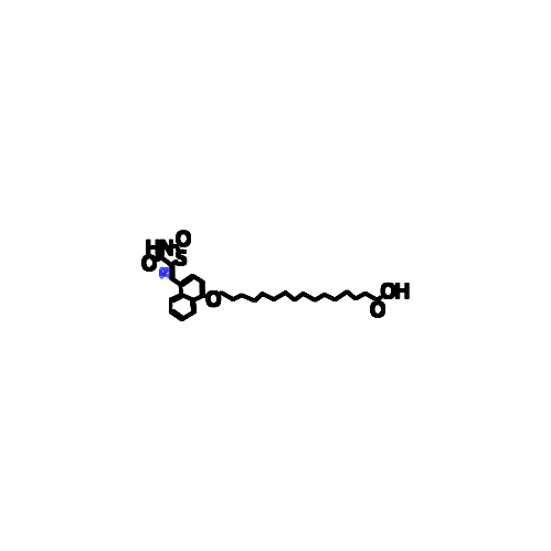 O=C(O)CCCCCCCCCCCCCCCOc1ccc(/C=C2\SC(=O)NC2=O)c2ccccc12